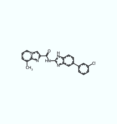 Cc1cccn2cc(C(=O)Nc3nc4cc(-c5cccc(Cl)c5)ccc4[nH]3)nc12